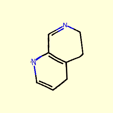 C1=C[N]C2=C(C1)CCN=C2